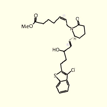 COC(=O)CCC/C=C\CN1C(=O)CCC[C@@H]1/C=C/C(O)CCc1sc2ccccc2c1Cl